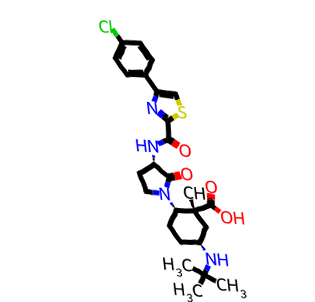 CC(C)(C)N[C@@H]1CC[C@H](N2CC[C@H](NC(=O)c3nc(-c4ccc(Cl)cc4)cs3)C2=O)[C@](C)(C(=O)O)C1